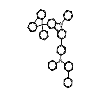 c1ccc(-c2cccc(N(c3ccccc3)c3ccc(-c4ccc5c(c4)c4cc(C6(c7ccccc7)c7ccccc7-c7ccccc76)ccc4n5-c4ccccc4)cc3)c2)cc1